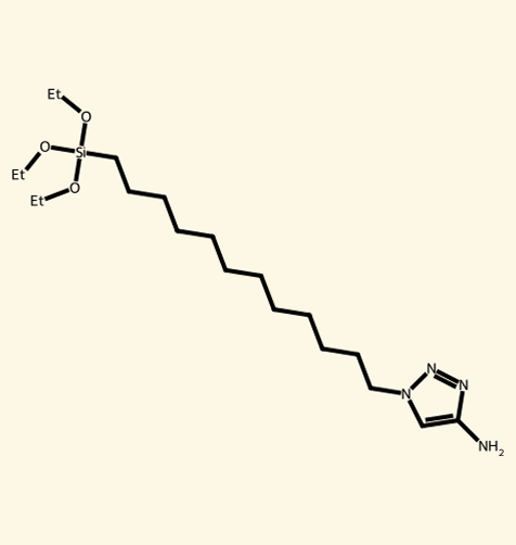 CCO[Si](CCCCCCCCCCCCn1cc(N)nn1)(OCC)OCC